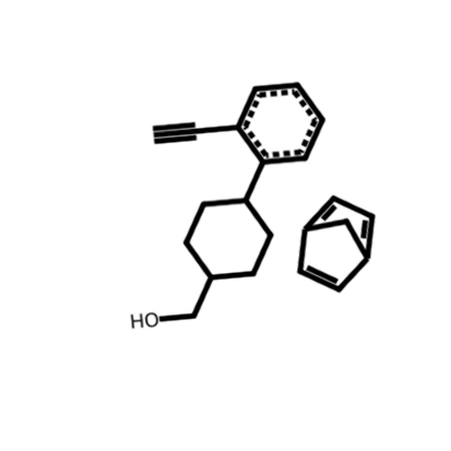 C#Cc1ccccc1C1CCC(CO)CC1.C1=CC2=CC=C1C2